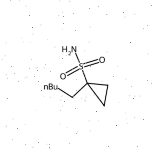 CCCCCC1(S(N)(=O)=O)CC1